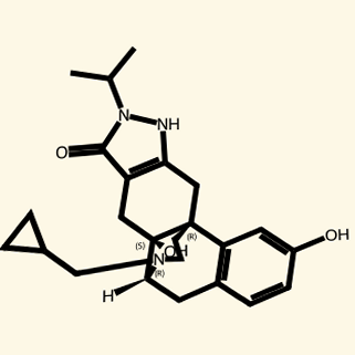 CC(C)n1[nH]c2c(c1=O)C[C@@]1(O)[C@H]3Cc4ccc(O)cc4[C@@]1(CCN3CC1CC1)C2